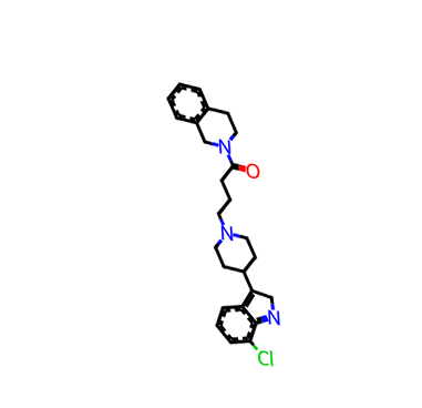 O=C(CCCN1CCC(C2=c3cccc(Cl)c3=NC2)CC1)N1CCc2ccccc2C1